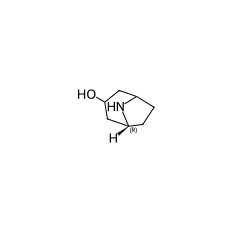 OC1CC2CC[C@H](C1)N2